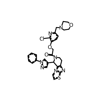 O=C(COc1ccc(CN2CCOCC2)nc1Cl)N1CCc2nc3sccn3c2C1c1cnn(-c2ccccc2)c1